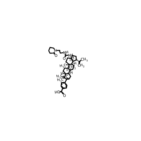 C=C(C)[C@@H]1CC[C@]2(NC(=O)NCCN3CCCCC3=O)CC[C@]3(C)[C@H](CC[C@@H]4[C@@]5(C)CC=C(c6ccc(C(=O)O)cc6)C(C)(C)[C@@H]5CC[C@]43C)[C@@H]12